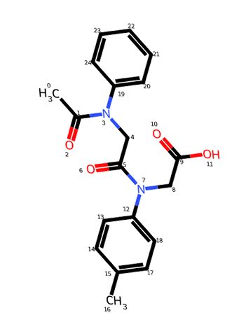 CC(=O)N(CC(=O)N(CC(=O)O)c1ccc(C)cc1)c1ccccc1